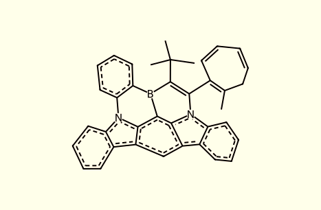 CC1=C(C2=C(C(C)(C)C)B3c4ccccc4-n4c5ccccc5c5cc6c7ccccc7n2c6c3c54)C=CC=CC1